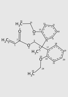 C=CC(=O)OCC(C)(c1ccccc1OCC)c1ccccc1OCC